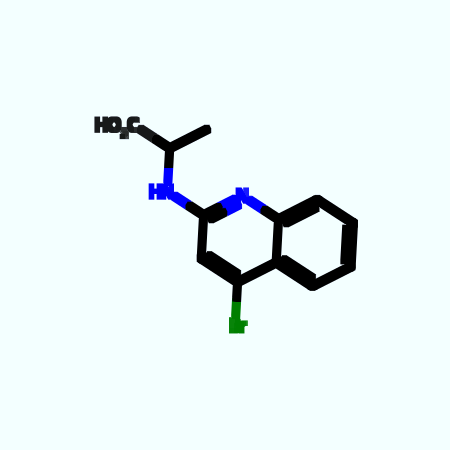 CC(Nc1cc(Br)c2ccccc2n1)C(=O)O